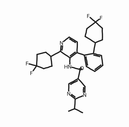 CC(C)c1ncc(C(=O)Nc2c(-c3ccccc3C3CCC(F)(F)CC3)ccnc2C2CCC(F)(F)CC2)cn1